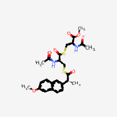 COC(=O)C(CSC(=O)C(CSC(=O)[C@H](C)c1ccc2cc(OC)ccc2c1)NC(C)=O)NC(C)=O